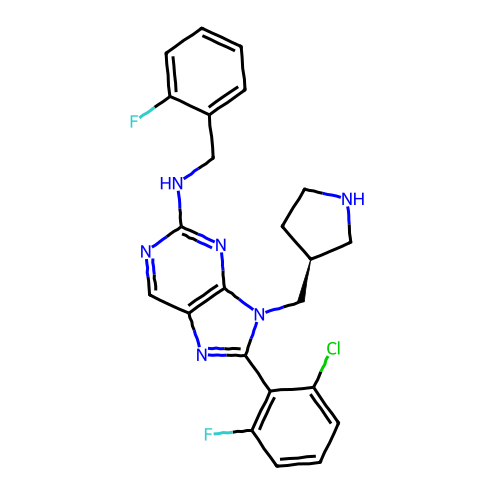 Fc1ccccc1CNc1ncc2nc(-c3c(F)cccc3Cl)n(C[C@H]3CCNC3)c2n1